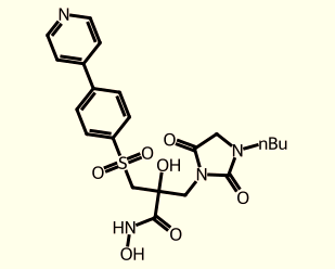 CCCCN1CC(=O)N(CC(O)(CS(=O)(=O)c2ccc(-c3ccncc3)cc2)C(=O)NO)C1=O